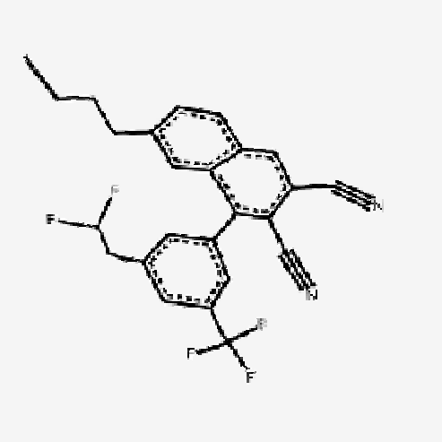 CCCCc1ccc2cc(C#N)c(C#N)c(-c3cc(CC(F)F)cc(C(F)(F)F)c3)c2c1